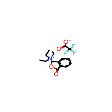 CC[N+](CC)(CC)C1OC(=O)c2ccccc21.O=C([O-])C(F)(F)F